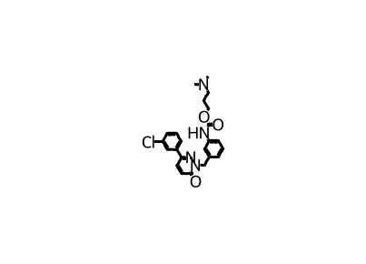 CN(C)CCCOC(=O)Nc1cccc(Cn2nc(-c3cccc(Cl)c3)ccc2=O)c1